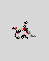 CCCCCCCC(=O)O/N=C(\CC1CC1)C(=O)c1ccc(Sc2ccc(C3CC3CCC/C(=C\OC(=O)C3CC3)C(=O)c3ccc(Sc4ccc(C5CC5CCC/C(=N\OC(=O)C(C)C)C(=O)c5ccc(Sc6ccccc6)cc5)cc4)cc3)cc2)cc1